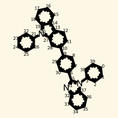 c1ccc(-n2c(-c3ccc(-c4ccc5c6ccccc6n(-c6ccccc6)c5c4)cc3)nc3ccccc32)cc1